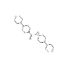 O=C(C1CC12CCN(C1CCOCC1)CC2)N1CCN(C2CCOCC2)CC1